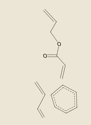 C=CC=C.C=CCOC(=O)C=C.c1ccccc1